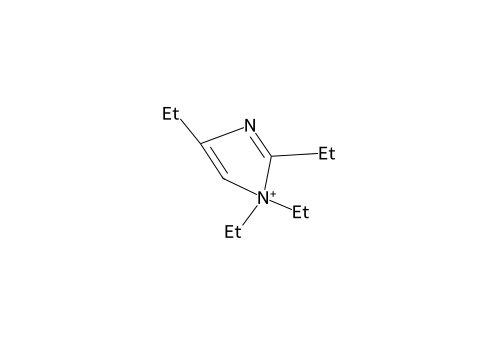 CCC1=C[N+](CC)(CC)C(CC)=N1